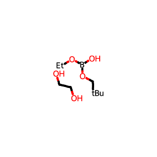 CCOB(O)OCC(C)(C)C.OCCO